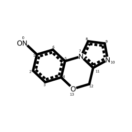 O=Nc1ccc2c(c1)-n1ccnc1CO2